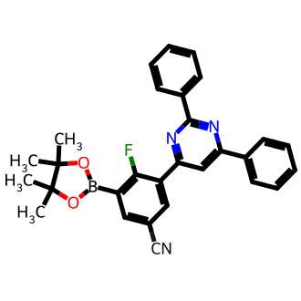 CC1(C)OB(c2cc(C#N)cc(-c3cc(-c4ccccc4)nc(-c4ccccc4)n3)c2F)OC1(C)C